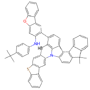 CC(C)(C)c1ccc(Nc2cc3oc4ccccc4c3cc2-c2ccc3c4c5c(ccc4n4c3c2Bc2cc3sc6ccccc6c3cc2-4)C(C)(C)c2ccccc2-5)cc1